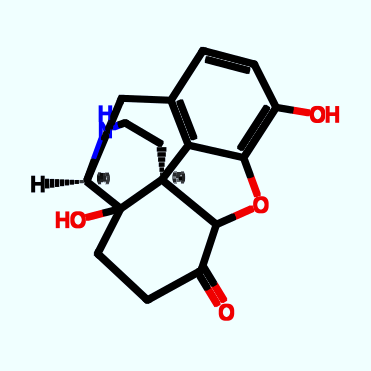 O=C1CCC2(O)[C@H]3Cc4ccc(O)c5c4[C@@]2(CCN3)C1O5